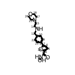 O=C(NO)c1ccc(-c2ccc(CNCCN3CCOCC3)cc2)o1